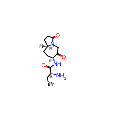 CC(C)C[C@H](N)C(=O)N[C@H]1CC[C@@H]2CCC(=O)N2CC1=O